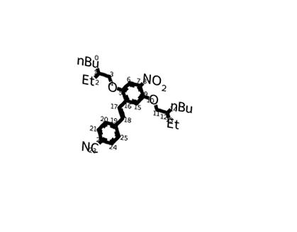 CCCCC(CC)COc1cc([N+](=O)[O-])c(OCC(CC)CCCC)cc1/C=C/c1ccc(C#N)cc1